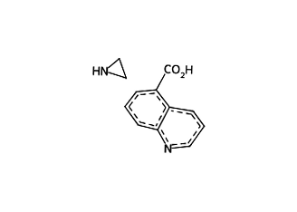 C1CN1.O=C(O)c1cccc2ncccc12